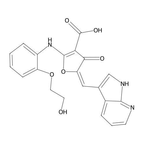 O=C(O)C1=C(Nc2ccccc2OCCO)OC(=Cc2c[nH]c3ncccc23)C1=O